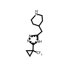 FC(F)(F)C1(c2nnc(CC3CCNCC3)[nH]2)CC1